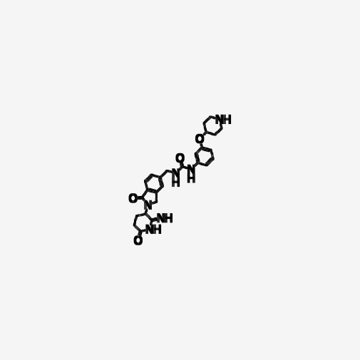 N=C1NC(=O)CCC1N1Cc2cc(CNC(=O)Nc3cccc(OC4CCNCC4)c3)ccc2C1=O